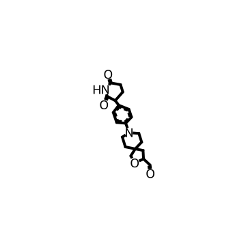 O=CC1CC2(CCN(c3ccc(C4CCC(=O)NC4=O)cc3)CC2)CO1